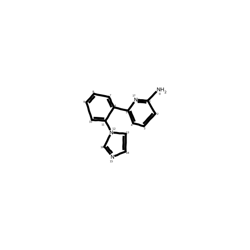 Nc1cccc(-c2ccccc2-n2ccnc2)n1